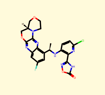 C[C@@H](Nc1ccc(Cl)nc1-c1noc(=O)[nH]1)c1cc(F)cc2nc3c(nc12)N1CCOC[C@H]1CO3